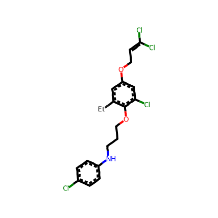 CCc1cc(OCC=C(Cl)Cl)cc(Cl)c1OCCCNc1ccc(Cl)cc1